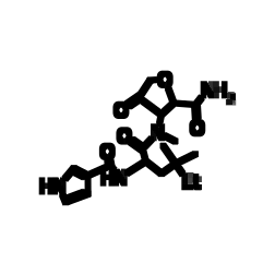 CCC(C)(C)CC(NC(=O)c1cc[nH]c1)C(=O)N(C)C1C(=O)COC1C(N)=O